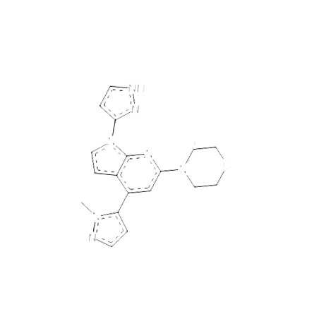 C[C@@H]1COCCN1c1cc(-c2ccnn2C)c2ccn(-c3cc[nH]n3)c2n1